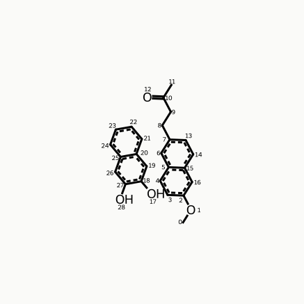 COc1ccc2cc(CCC(C)=O)ccc2c1.Oc1cc2ccccc2cc1O